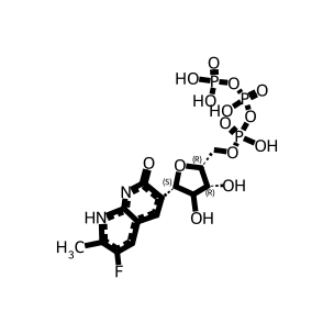 Cc1[nH]c2nc(=O)c([C@@H]3O[C@H](COP(=O)(O)OP(=O)(O)OP(=O)(O)O)[C@H](O)C3O)cc-2cc1F